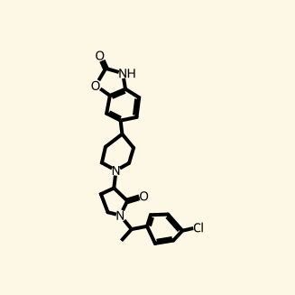 CC(c1ccc(Cl)cc1)N1CCC(N2CCC(c3ccc4[nH]c(=O)oc4c3)CC2)C1=O